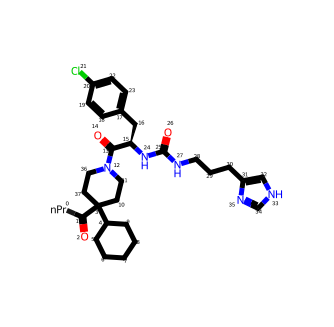 CCCC(=O)C1(C2CCCCC2)CCN(C(=O)[C@@H](Cc2ccc(Cl)cc2)NC(=O)NCCCc2c[nH]cn2)CC1